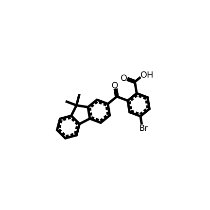 CC1(C)c2ccccc2-c2ccc(C(=O)c3cc(Br)ccc3C(=O)O)cc21